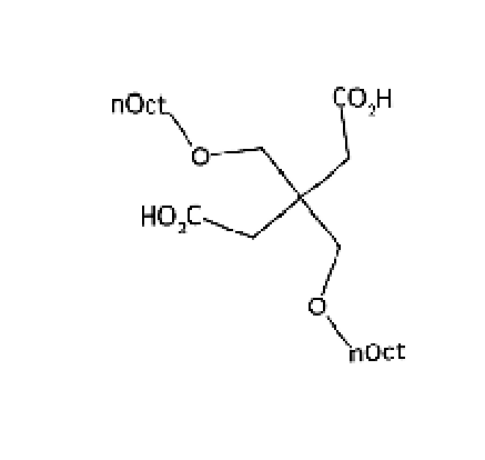 CCCCCCCCOCC(COCCCCCCCC)(CC(=O)O)CC(=O)O